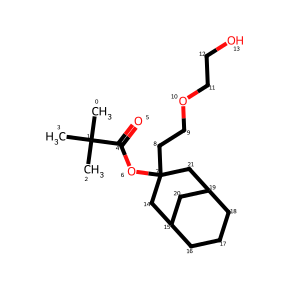 CC(C)(C)C(=O)OC1(CCOCCO)CC2CCCC(C2)C1